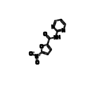 O=C(Nc1ncccn1)c1ccc([N+](=O)[O-])o1